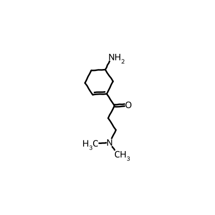 CN(C)CCC(=O)C1=CCCC(N)C1